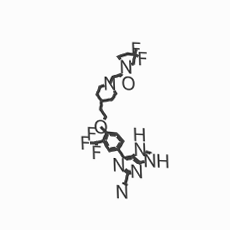 N#Cc1nc2c(c(-c3ccc(OCCC4CCN(CC(=O)N5CCC(F)(F)C5)CC4)c(C(F)(F)F)c3)n1)NCN2